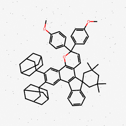 COc1ccc(C2(c3ccc(OC)cc3)C=Cc3c4c(c5cc(C67CC8CC(CC(C8)C6)C7)c(C67CC8CC(CC(C8)C6)C7)cc5c3O2)-c2ccccc2C42CC(C)(C)CC(C)(C)C2)cc1